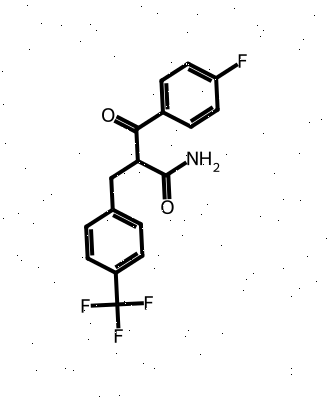 NC(=O)C(Cc1ccc(C(F)(F)F)cc1)C(=O)c1ccc(F)cc1